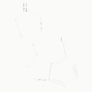 CCc1cccc2scc(C3CCNCC3)c12